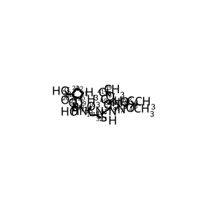 CC(C)(C)OC(=O)/N=C(/NCc1nc(CC(=O)N[C@H]2Cc3cccc(C(=O)O)c3OB2O)cs1)NC(=O)OC(C)(C)C